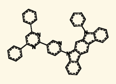 c1ccc(-c2cc(-c3ccccc3)nc(-c3ccc(-n4c5ccccc5c5cc6c7ccccc7n(-c7ccccc7)c6cc54)nc3)n2)cc1